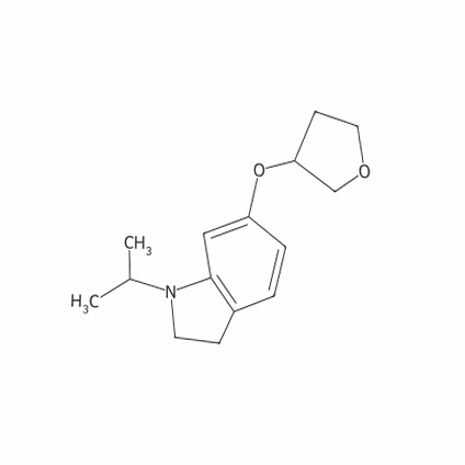 CC(C)N1CCc2ccc(OC3CCOC3)cc21